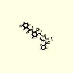 Cc1c(CN2CCN(C(=O)C3CCCC3)[C@@H](C)C2)cc(F)cc1NC(=O)c1cccc(F)c1F